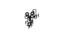 Cc1c(F)cc([C@@H](C)N(C)C(=O)c2nn(-c3ccccc3Cl)c(-c3ccc(Cl)cc3)c2CC(=O)O)c(F)c1F